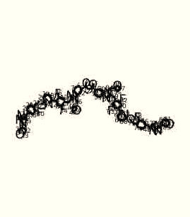 O=C(OC(=O)c1ccc2nc(Cc3cc(F)c(-c4cccc(OCc5ccc(-c6cn([C@H]7CCOC7)nn6)cc5F)n4)cc3F)n(C[C@@H]3CCO3)c2c1)c1ccc2nc(Cc3cc(F)c(-c4cccc(OCc5ccc(-c6cn([C@H]7CCOC7)nn6)cc5F)n4)cc3F)n(C[C@@H]3CCO3)c2c1